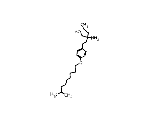 CCCC(N)(CO)CCc1ccc(OCCCCCCCC(C)C)cc1